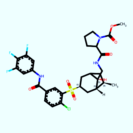 COC(=O)N1CCCC1C(=O)NC[C@]1(O)C2C[C@H](S(=O)(=O)c3cc(C(=O)Nc4cc(F)c(F)c(F)c4)ccc3Cl)C[C@H]1[C@H](C)C2